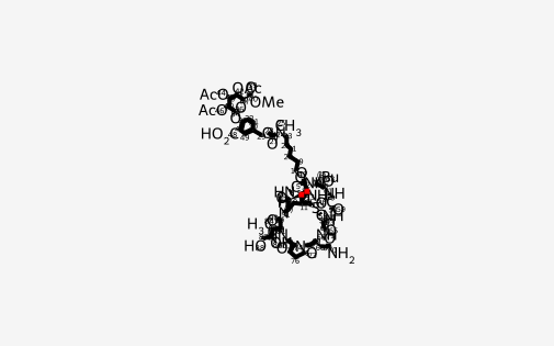 CC[C@H](C)[C@@H]1NC(=O)CNC(=O)[C@@H]2Cc3c([nH]c4cc(OCCCCCCN(C)C(=O)OCc5ccc(O[C@@H]6O[C@H](C(=O)OC)[C@@H](OC(C)=O)[C@H](OC(C)=O)[C@H]6OC(C)=O)c(C(=O)O)c5)ccc34)[S+]([O-])C[C@H](NC(=O)CNC1=O)C(=O)N[C@@H](CC(N)=O)C(=O)N1CCCC1C(=O)N[C@@H]([C@@H](C)[C@@H](O)CO)C(=O)N2